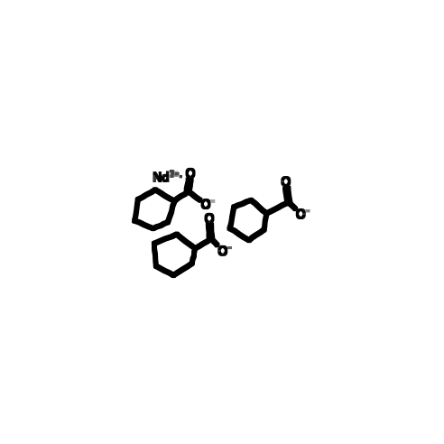 O=C([O-])C1CCCCC1.O=C([O-])C1CCCCC1.O=C([O-])C1CCCCC1.[Nd+3]